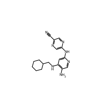 N#Cc1cnc(Nc2cc(NCC3CCCCC3)c(N)cn2)cn1